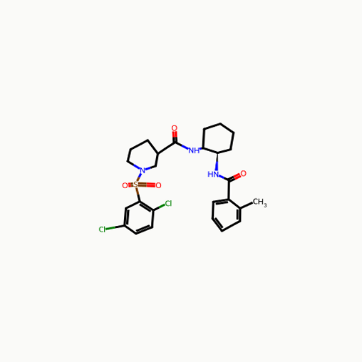 Cc1ccccc1C(=O)N[C@@H]1CCCCC1NC(=O)C1CCCN(S(=O)(=O)c2cc(Cl)ccc2Cl)C1